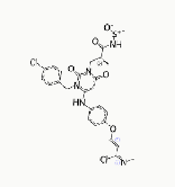 C/N=C(Cl)\C=C\Oc1ccc(Nc2cc(=O)n(C[C@H](C)C(=O)N[S+](C)[O-])c(=O)n2Cc2ccc(Cl)cc2)cc1